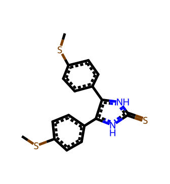 CSc1ccc(-c2[nH]c(=S)[nH]c2-c2ccc(SC)cc2)cc1